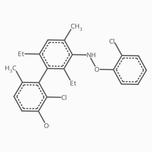 CCc1cc(C)c(NOc2ccccc2Cl)c(CC)c1-c1c(C)ccc([O])c1Cl